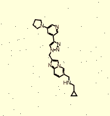 c1cc2nc(Cn3cc(-c4cncc(N5CCCC5)c4)nn3)cn2cc1CNCC1CC1